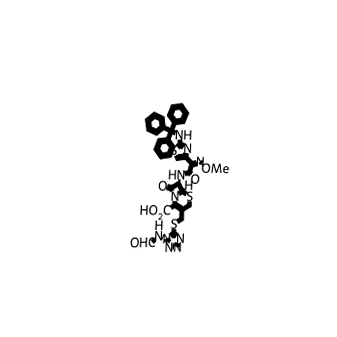 CO/N=C(\C(=O)N[C@@H]1C(=O)N2C(C(=O)O)=C(CSc3nnnn3NC=O)CS[C@@H]12)c1csc(NC(c2ccccc2)(c2ccccc2)c2ccccc2)n1